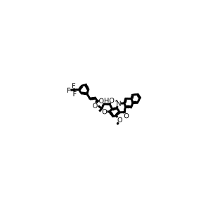 COc1cc2c(c3c1c(=O)c1cc4ccccc4cc1n3C)C(O)C(OC(=O)/C=C/c1cccc(C(F)(F)F)c1)C(C)(C)O2